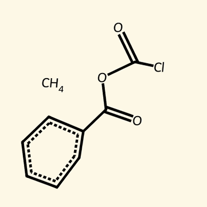 C.O=C(Cl)OC(=O)c1ccccc1